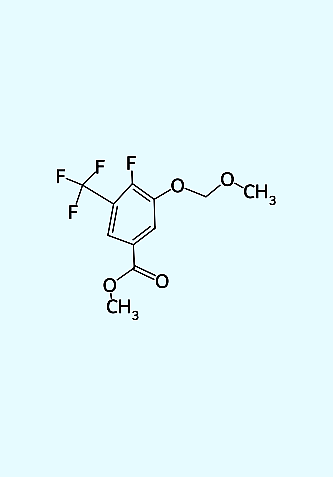 COCOc1cc(C(=O)OC)cc(C(F)(F)F)c1F